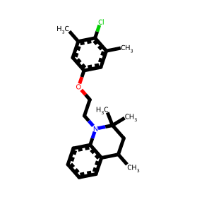 Cc1cc(OCCN2c3ccccc3C(C)CC2(C)C)cc(C)c1Cl